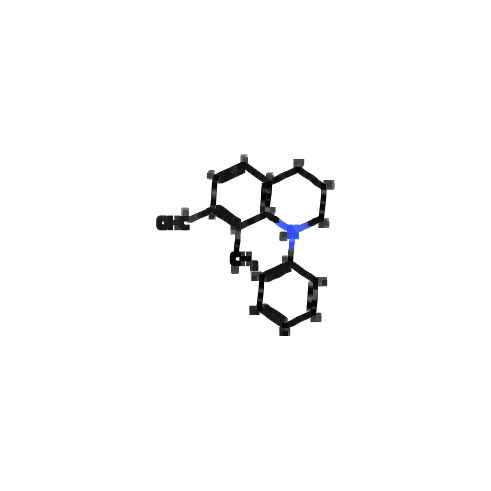 Cc1c(C=O)ccc2c1N(c1ccccc1)CCC2